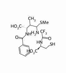 CSC(N)C(C)[C@H](NC(=O)c1ccccc1)C(=O)O.O=C(O)[C@H](CS)NC(=O)C(F)(F)F